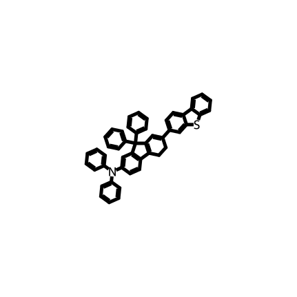 C1=C(c2ccc3c(c2)sc2ccccc23)CCC2=C1C(c1ccccc1)(c1ccccc1)c1cc(N(c3ccccc3)c3ccccc3)ccc12